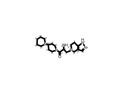 NC(CN1CCc2[nH]ncc2C1)C(=O)N1CCC(N2CCCCC2)CC1